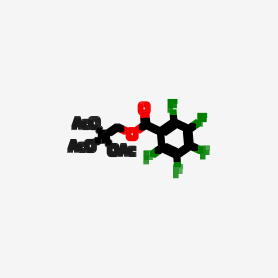 CC(=O)O[Si](COC(=O)c1c(F)c(F)c(F)c(F)c1F)(OC(C)=O)OC(C)=O